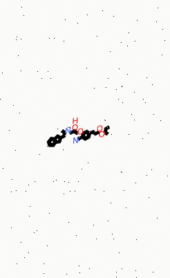 CCC(C)OC(=O)CCc1ccc(C#N)c(OC[C@H](O)CN(C)C(C)CC2Cc3ccccc3C2)c1